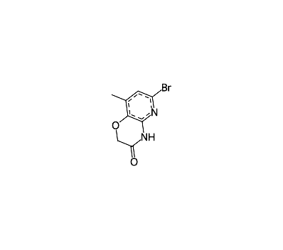 Cc1cc(Br)nc2c1OCC(=O)N2